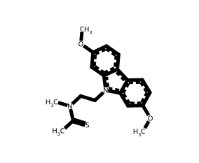 COc1ccc2c3ccc(OC)cc3n(CCN(C)C(C)=S)c2c1